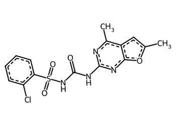 Cc1cc2c(C)nc(NC(=O)NS(=O)(=O)c3ccccc3Cl)nc2o1